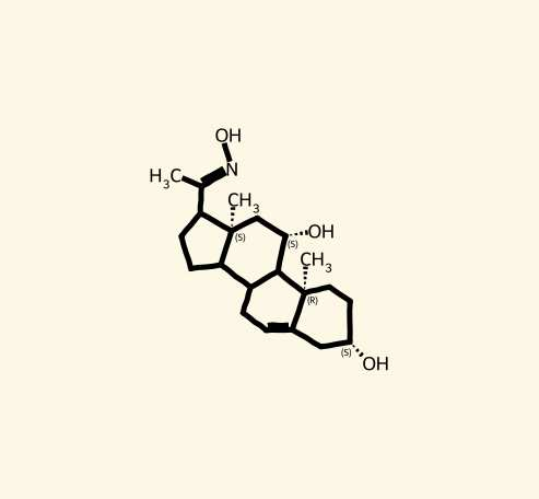 CC(=NO)C1CCC2C3CC=C4C[C@@H](O)CC[C@]4(C)C3[C@@H](O)C[C@]12C